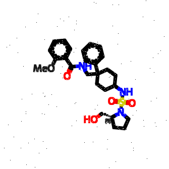 COc1ccccc1C(=O)NCC1(c2ccccc2)CCC(NS(=O)(=O)N2CCC[C@@H]2CO)CC1